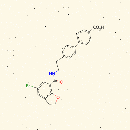 O=C(O)c1ccc(-c2ccc(CCNC(=O)c3cc(Br)cc4c3OCC4)cc2)cc1